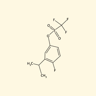 CC(C)c1cc(OS(=O)(=O)C(F)(F)F)ccc1F